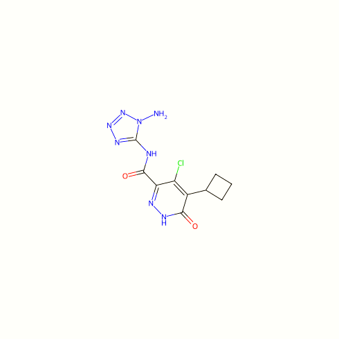 Nn1nnnc1NC(=O)c1n[nH]c(=O)c(C2CCC2)c1Cl